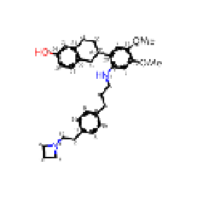 COc1cc(NCCCc2ccc(CCN3CCC3)cc2)c([C@@H]2CCc3cc(O)ccc3C2)cc1OC